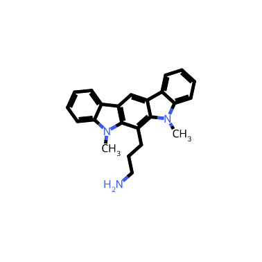 Cn1c2ccccc2c2cc3c4ccccc4n(C)c3c(CCCN)c21